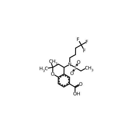 CCS(=O)(=O)N(CCCC(F)(F)F)C1CC(C)(C)Oc2ccc(C(=O)O)cc21